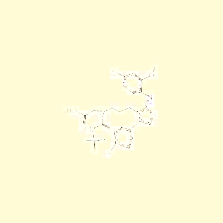 COc1cc(Cl)ccc1/N=c1/scc(-c2ccc(F)cc2)n1CCCN(CC(=O)O)C(=O)OC(C)(C)C